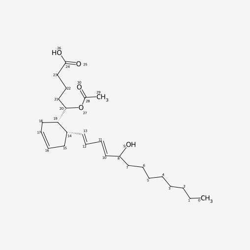 CCCCCCCCC(O)/C=C/C=C/[C@@H]1CC=CC[C@@H]1C(CCCC(=O)O)OC(C)=O